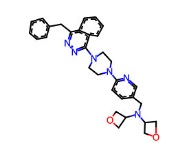 c1ccc(Cc2nnc(N3CCN(c4ccc(CN(C5COC5)C5COC5)cn4)CC3)c3ccccc23)cc1